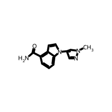 Cn1cc(-n2ccc3c(C(N)=O)cccc32)cn1